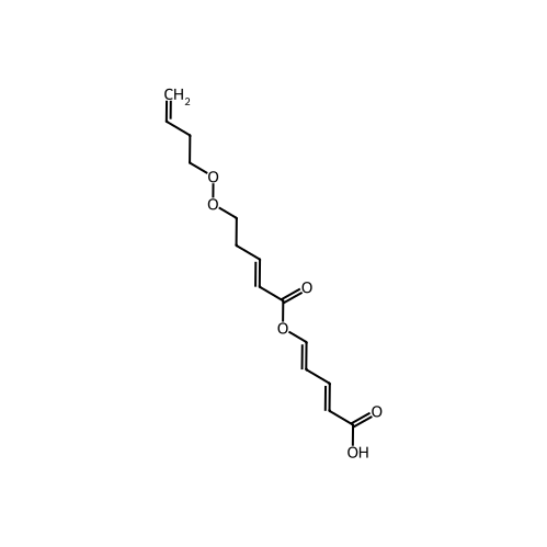 C=CCCOOCC/C=C/C(=O)O/C=C/C=C/C(=O)O